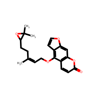 CC(=CCOc1c2ccoc2cc2oc(=O)ccc12)CCC1OC1(C)C